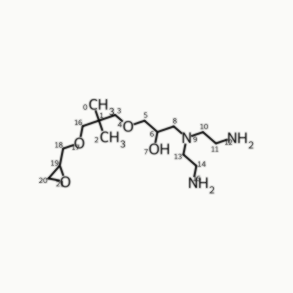 CC(C)(COCC(O)CN(CCN)CCN)COCC1CO1